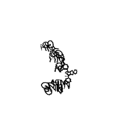 COC(=O)N[C@H](C(=O)N1CCCC1c1ncc(-c2ccc(-c3sc(-c4ccc5nc([C@@H]6CCCN6C(=O)[C@@H](NC(=O)OC)C(C)C)[nH]c5c4)c4c3CC3(CCCC3)C4)c3cnoc23)[nH]1)C(C)C